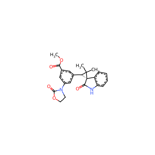 COC(=O)c1cc(C2C(C)(C)[C@@]23C(=O)Nc2ccccc23)cc(N2CCOC2=O)c1